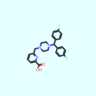 O=C(O)c1cccc(CN2CCN(C(c3ccc(F)cc3)c3ccc(F)cc3)CC2)n1